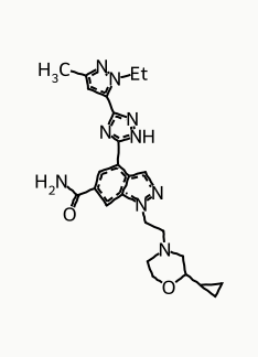 CCn1nc(C)cc1-c1n[nH]c(-c2cc(C(N)=O)cc3c2cnn3CCN2CCOC(C3CC3)C2)n1